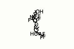 CC1CC(O)(C23CC(C(F)(F)F)(C2)C3)CCN1COc1cc(C(F)(F)F)c2c(c1)c(F)nn2C1CC(C)(O)C1